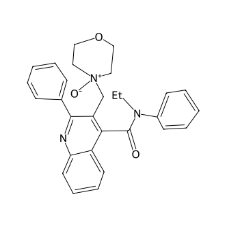 CCN(C(=O)c1c(C[N+]2([O-])CCOCC2)c(-c2ccccc2)nc2ccccc12)c1ccccc1